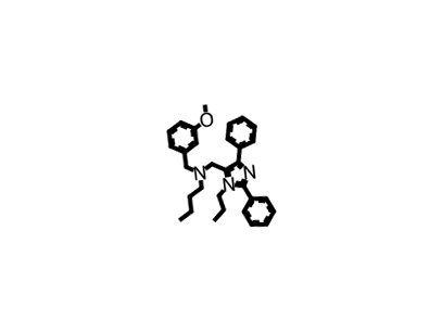 CCCCN(Cc1cccc(OC)c1)Cc1c(-c2ccccc2)nc(-c2ccccc2)n1CCC